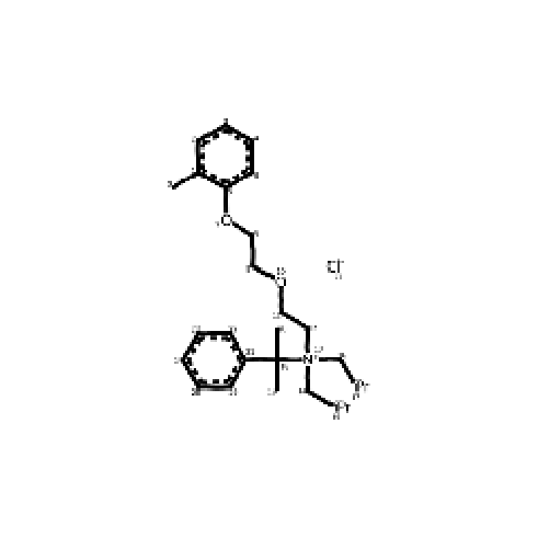 Cc1ccccc1OCCOCC[N+](CC(C)C)(CC(C)C)C(C)(C)c1ccccc1.[Cl-]